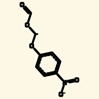 O=CO[CH]Oc1ccc([N+](=O)[O-])cc1